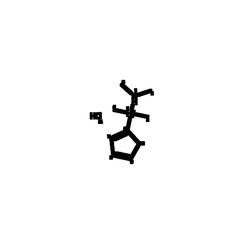 C[SiH](C)[Hf]([CH3])([CH3])[C]1=CC=CC1.Cl